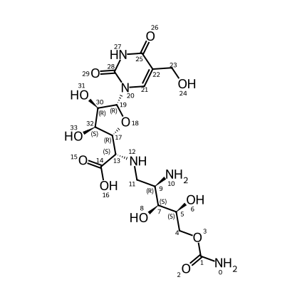 NC(=O)OC[C@H](O)[C@@H](O)[C@H](N)CN[C@H](C(=O)O)[C@H]1O[C@@H](n2cc(CO)c(=O)[nH]c2=O)[C@H](O)[C@@H]1O